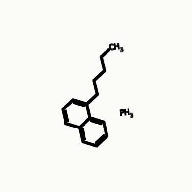 CCCCCc1cccc2ccccc12.P